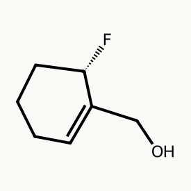 OCC1=CCCC[C@@H]1F